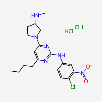 CCCCc1cc(N2CC[C@H](NC)C2)nc(Nc2ccc(Cl)c([N+](=O)[O-])c2)n1.Cl.Cl